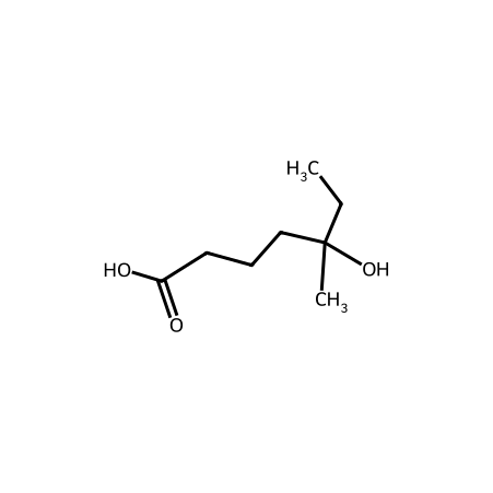 CCC(C)(O)CCCC(=O)O